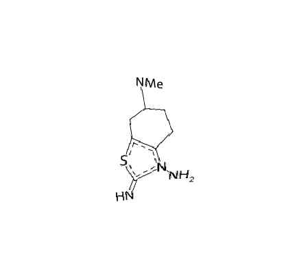 CNC1CCc2c(sc(=N)n2N)C1